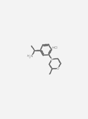 CC1CN(c2cccc(C(C)N)c2)CCO1.Cl